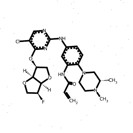 C=CC(=O)Nc1cc(Nc2ncc(Cl)c(O[C@H]3CO[C@@H]4[C@H]3OC[C@@H]4F)n2)ccc1N1CCN(C)[C@@H](C)C1